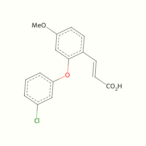 COc1ccc(C=CC(=O)O)c(Oc2cccc(Cl)c2)c1